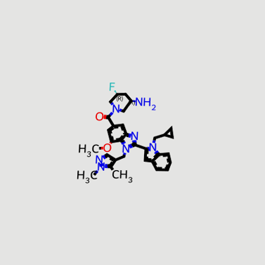 COc1cc(C(=O)N2C[C@H](N)C[C@@H](F)C2)cc2nc(-c3cc4ccccc4n3CC3CC3)n(Cc3cnn(C)c3C)c12